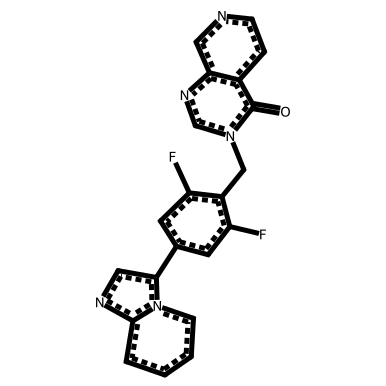 O=c1c2ccncc2ncn1Cc1c(F)cc(-c2cnc3ccccn23)cc1F